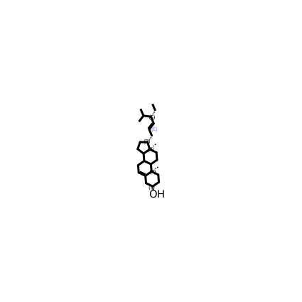 CC[C@H](/C=C/C[C@H]1CCC2C3CC=C4C[C@@H](O)CC[C@]4(C)C3CC[C@@]21C)C(C)C